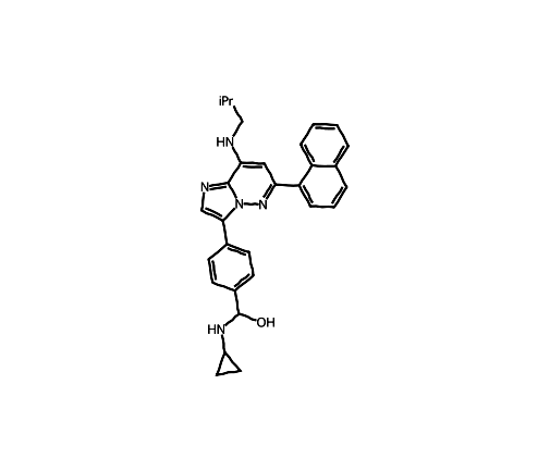 CC(C)CNc1cc(-c2cccc3ccccc23)nn2c(-c3ccc(C(O)NC4CC4)cc3)cnc12